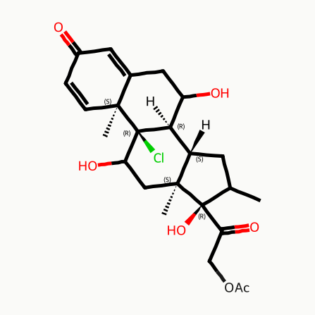 CC(=O)OCC(=O)[C@@]1(O)C(C)C[C@H]2[C@@H]3C(O)CC4=CC(=O)C=C[C@]4(C)[C@@]3(Cl)C(O)C[C@@]21C